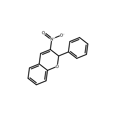 O=[N+]([O-])C1=Cc2ccccc2OC1c1ccccc1